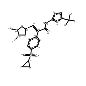 CC(C)(C)c1csc(NC(=O)/C(=C/[C@H]2C[C@@H](F)[C@@H](F)C2)c2ccc(S(=O)(=O)C3CC3)cc2)n1